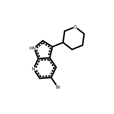 Brc1cnc2[nH]cc(C3CCCOC3)c2c1